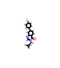 O=c1c2ccc(-c3ccc(F)cc3)cc2ncn1CC1CC1